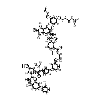 CCCOc1cc(OCCCCN(C)C)cc(Oc2cc3c(cc2NS(=O)(=O)c2cccc(C(=O)NC[C@@H](C)Oc4cc(-c5cnn([C@H](C(=O)N6C[C@H](O)C[C@H]6C(=O)N[C@@H](C)c6ccc(-c7scnc7C)cc6)C(C)C)c5)ccn4)c2)n(C)c(=O)n3C)c1